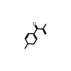 C=C(C)C(=O)C1=CCC(C)C=C1